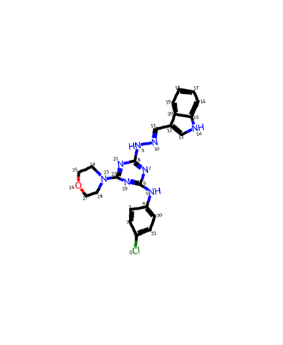 Clc1ccc(Nc2nc(N/N=C/c3c[nH]c4ccccc34)nc(N3CCOCC3)n2)cc1